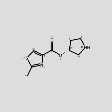 Cc1nc(C(=O)O[C@@H]2CCNC2)cs1